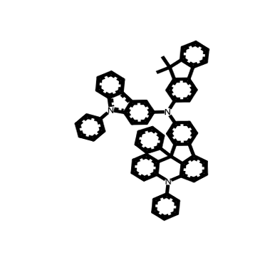 CC1(C)c2ccccc2-c2ccc(N(c3ccc4c(c3)C3(c5ccccc5)c5ccccc5N(c5ccccc5)c5cccc-4c53)c3ccc4c(c3)c3ccccc3n4-c3ccccc3)cc21